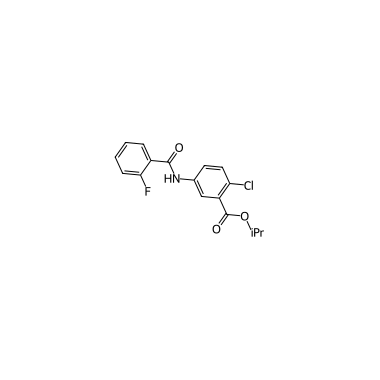 CC(C)OC(=O)c1cc(NC(=O)c2ccccc2F)ccc1Cl